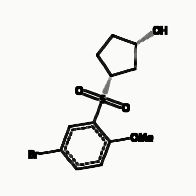 COc1ccc(Br)cc1S(=O)(=O)[C@@H]1CC[C@H](O)C1